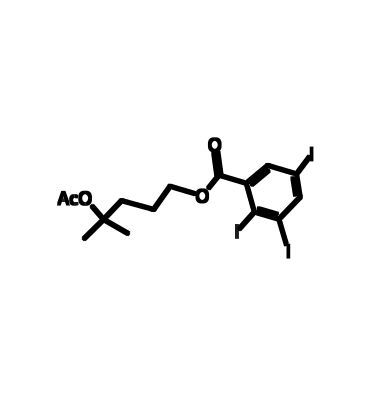 CC(=O)OC(C)(C)CCCOC(=O)c1cc(I)cc(I)c1I